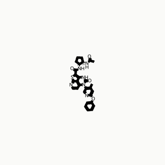 CC(=O)N[C@H]1CCC[C@H]1NC(=O)c1sc2nccc3c2c1NC(=O)N3c1cnc(Oc2ccccc2)cc1C